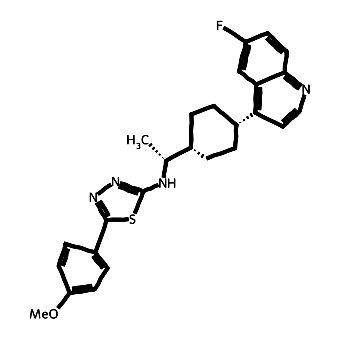 COc1ccc(-c2nnc(N[C@H](C)[C@H]3CC[C@@H](c4ccnc5ccc(F)cc54)CC3)s2)cc1